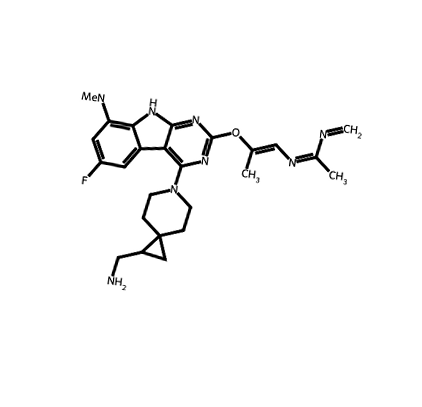 C=N/C(C)=N\C=C(/C)Oc1nc(N2CCC3(CC2)CC3CN)c2c(n1)[nH]c1c(NC)cc(F)cc12